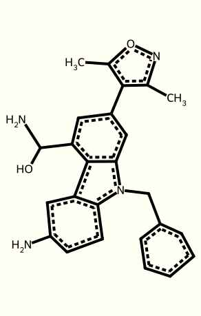 Cc1noc(C)c1-c1cc(C(N)O)c2c3cc(N)ccc3n(Cc3ccccc3)c2c1